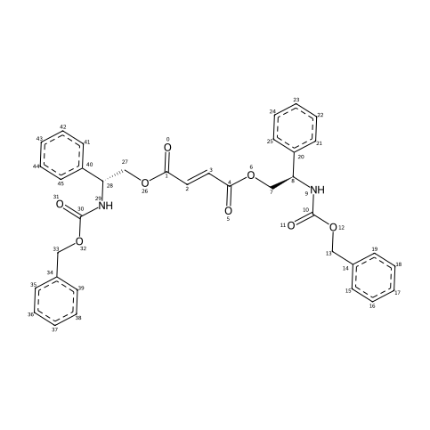 O=C(/C=C/C(=O)OC[C@H](NC(=O)OCc1ccccc1)c1ccccc1)OC[C@H](NC(=O)OCc1ccccc1)c1ccccc1